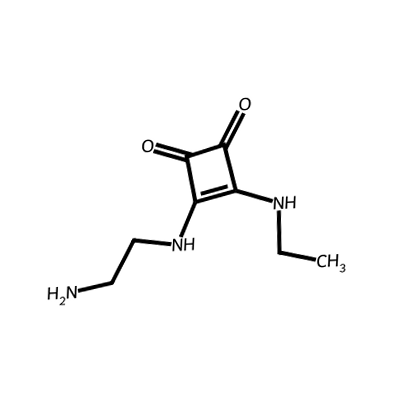 CCNc1c(NCCN)c(=O)c1=O